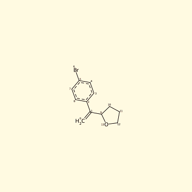 C=C(c1ccc(Br)cc1)C1CCCO1